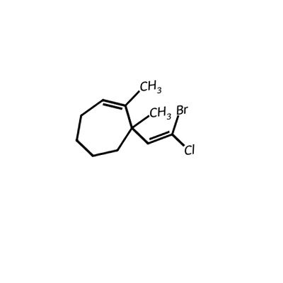 CC1=CCCCCC1(C)C=C(Cl)Br